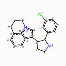 Clc1cccc(C2NCCC2c2cn3c4c(cccc24)CCC3)c1